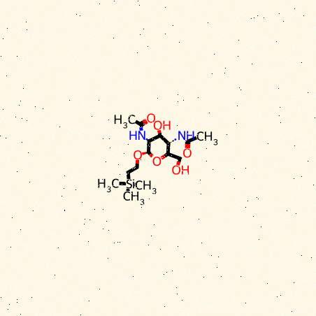 CC(=O)N[C@@H]1C(CO)O[C@@H](OCC[Si](C)(C)C)[C@H](NC(C)=O)C1O